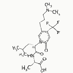 CC(C)C[C@@H](C(=O)NC(C)C(=O)O)n1cc(CCCN(C)C)c(C(F)(F)F)cc1=O